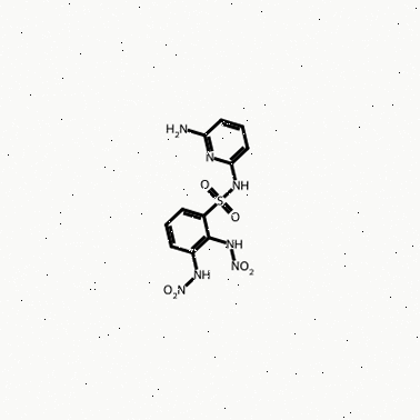 Nc1cccc(NS(=O)(=O)c2cccc(N[N+](=O)[O-])c2N[N+](=O)[O-])n1